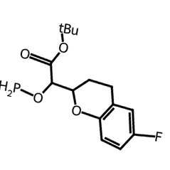 CC(C)(C)OC(=O)C(OP)C1CCc2cc(F)ccc2O1